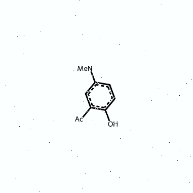 CNc1ccc(O)c(C(C)=O)c1